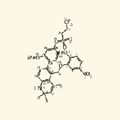 COc1ccc([N+](=O)[O-])cc1OCc1c(-c2ccc(OS(=O)(=O)CCC(F)(F)F)cc2OC)ccc2c1C(C)=CC(C)(C)N2